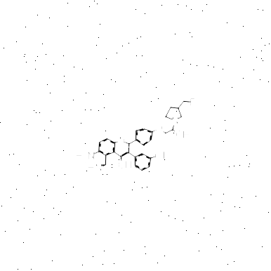 CC1=C(c2cccc(O)c2)C(c2ccc(OCC(C)N3CCC(CF)C3)cc2)Oc2ccc(N)c(C=N)c21